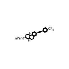 CCCCC[C@@H]1CC[C@@H]2c3ccc(C#Cc4ccc(C(F)(F)F)cc4)cc3CC[C@@H]2C1